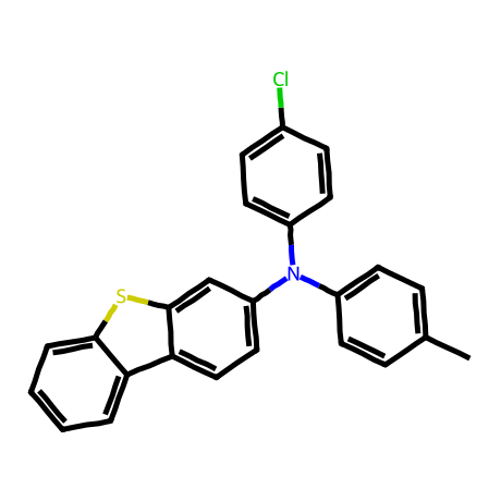 Cc1ccc(N(c2ccc(Cl)cc2)c2ccc3c(c2)sc2ccccc23)cc1